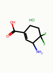 Cl.NC1C=C(C(=O)O)CCC1(F)F